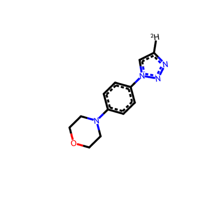 [2H]c1cn(-c2ccc(N3CCOCC3)cc2)nn1